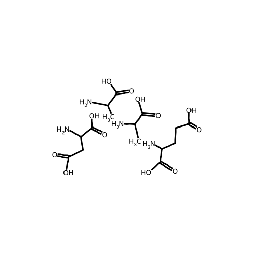 CC(N)C(=O)O.CC(N)C(=O)O.NC(CC(=O)O)C(=O)O.NC(CCC(=O)O)C(=O)O